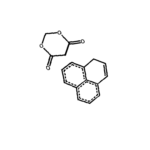 C1=Cc2cccc3cccc(c23)C1.O=C1CC(=O)OCO1